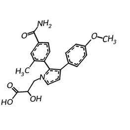 COc1ccc(-c2ccn(CC(O)C(=O)O)c2-c2ccc(C(N)=O)cc2C)cc1